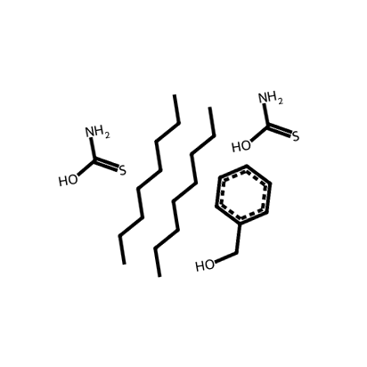 CCCCCCCC.CCCCCCCC.NC(O)=S.NC(O)=S.OCc1ccccc1